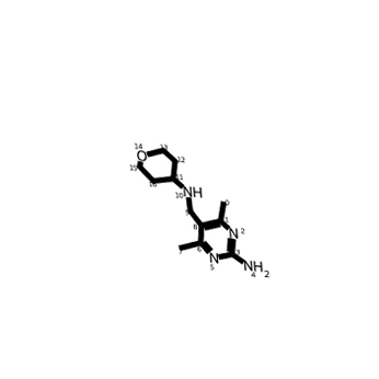 Cc1nc(N)nc(C)c1CNC1CCOCC1